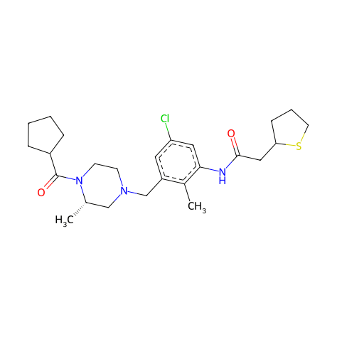 Cc1c(CN2CCN(C(=O)C3CCCC3)[C@@H](C)C2)cc(Cl)cc1NC(=O)CC1CCCS1